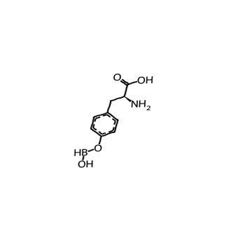 N[C@@H](Cc1ccc(OBO)cc1)C(=O)O